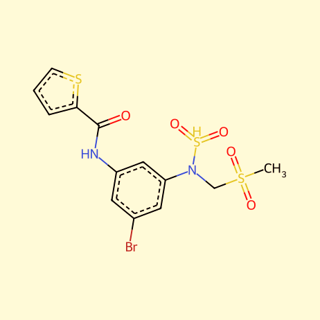 CS(=O)(=O)CN(c1cc(Br)cc(NC(=O)c2cccs2)c1)[SH](=O)=O